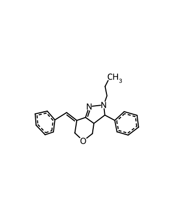 CCCN1N=C2C(=Cc3ccccc3)COCC2C1c1ccccc1